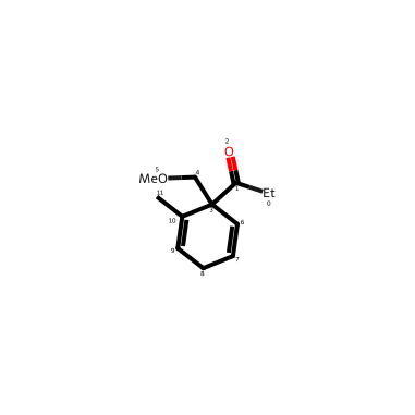 CCC(=O)C1(COC)C=CCC=C1C